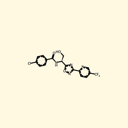 O=C(N[C@@H](CO)c1nc(-c2ccc(C(F)(F)F)cn2)no1)c1ccc(Cl)cc1